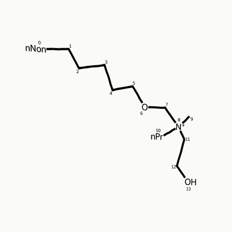 CCCCCCCCCCCCCCOC[N+](C)(CCC)CCO